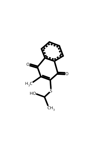 CC1=C(SC(C)O)C(=O)c2ccccc2C1=O